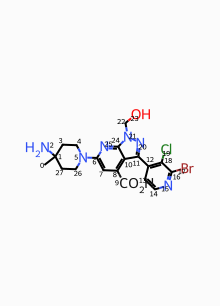 CC1(N)CCN(c2cc(C(=O)O)c3c(-c4ccnc(Br)c4Cl)nn(CO)c3n2)CC1